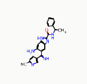 CC(NC(=O)c1nc2cc(C(=N)c3ccc(C#N)nc3)c(N)cc2[nH]1)c1ccccc1